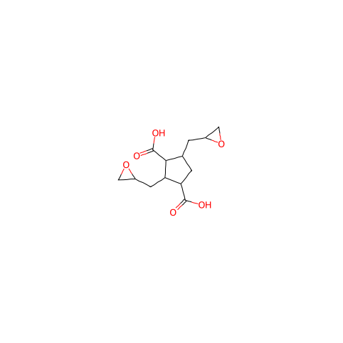 O=C(O)C1CC(CC2CO2)C(C(=O)O)C1CC1CO1